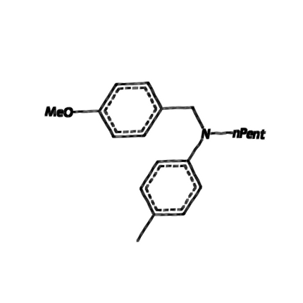 CCCCCN(Cc1ccc(OC)cc1)c1ccc(C)cc1